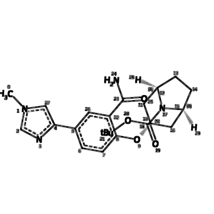 Cn1cnc(-c2ccc(O[C@@H]3C[C@H]4CC[C@@H](C3)N4C(=O)OC(C)(C)C)c(C(N)=O)c2)c1